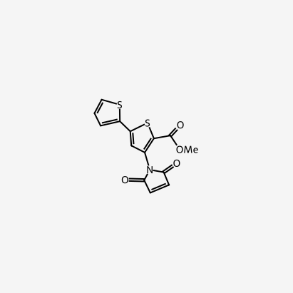 COC(=O)c1sc(-c2cccs2)cc1N1C(=O)C=CC1=O